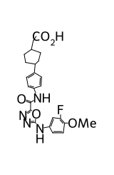 COc1ccc(Nc2nnc(C(=O)Nc3ccc(C4CCC(CC(=O)O)CC4)cc3)o2)cc1F